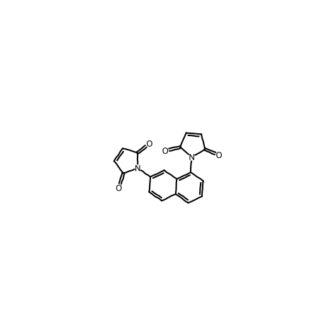 O=C1C=CC(=O)N1c1ccc2cccc(N3C(=O)C=CC3=O)c2c1